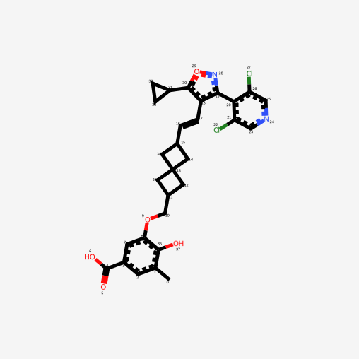 Cc1cc(C(=O)O)cc(OCC2CC3(CC(/C=C/c4c(-c5c(Cl)cncc5Cl)noc4C4CC4)C3)C2)c1O